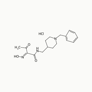 CC(=O)/C(=N\O)C(=O)NCC1CCN(Cc2ccccc2)CC1.Cl